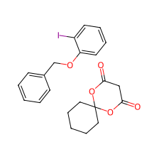 Ic1ccccc1OCc1ccccc1.O=C1CC(=O)OC2(CCCCC2)O1